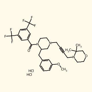 COc1cccc(CC2CN(CC#CCN3CCOCC3(C)C)CCN2C(=O)c2cc(C(F)(F)F)cc(C(F)(F)F)c2)c1.Cl.Cl